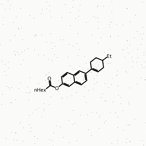 CCCCCCC(=O)Oc1ccc2cc(C3=CCC(CC)CC3)ccc2c1